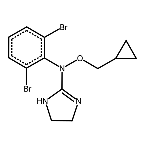 Brc1cccc(Br)c1N(OCC1CC1)C1=NCCN1